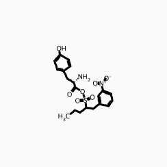 CCCC(Cc1cccc([N+](=O)[O-])c1)S(=O)(=O)OC(=O)[C@@H](N)Cc1ccc(O)cc1